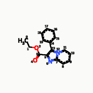 CCOC(=O)c1nc2ccccn2c1-c1ccccc1